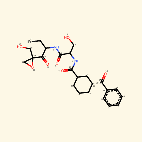 CC(C)CC(NC(=O)C(CO)NC(=O)C1CCC[C@@H](C(=O)c2ccccc2)C1)C(=O)C1(CO)CO1